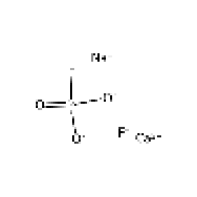 O=P([O-])([O-])F.[Ca+2].[F-].[Na+]